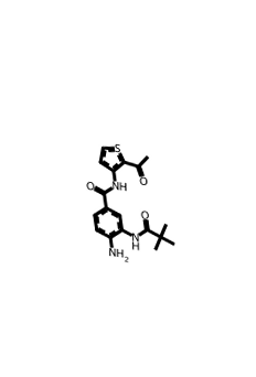 CC(=O)c1sccc1NC(=O)c1ccc(N)c(NC(=O)C(C)(C)C)c1